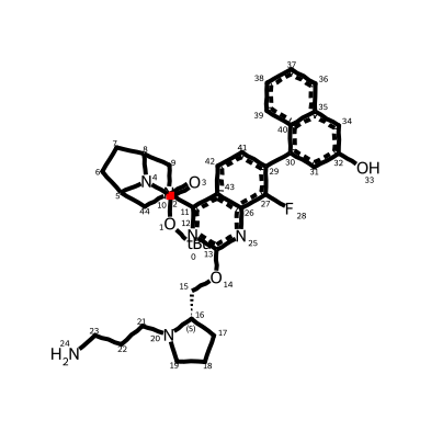 CC(C)(C)OC(=O)N1C2CCC1CN(c1nc(OC[C@@H]3CCCN3CCCN)nc3c(F)c(-c4cc(O)cc5ccccc45)ccc13)C2